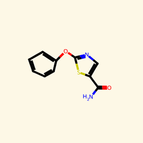 NC(=O)c1cnc(Oc2ccccc2)s1